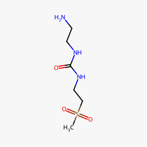 CS(=O)(=O)CCNC(=O)NCCN